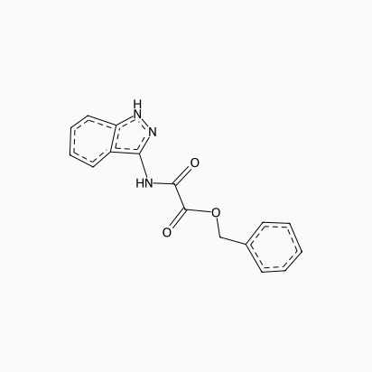 O=C(Nc1n[nH]c2ccccc12)C(=O)OCc1ccccc1